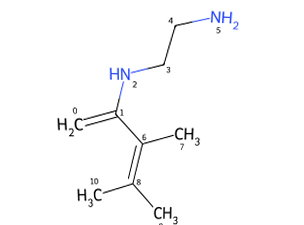 C=C(NCCN)C(C)=C(C)C